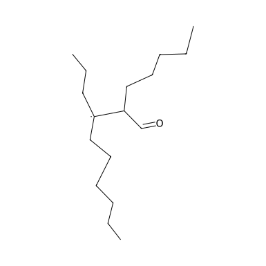 CCCCCC[C](CCC)C(C=O)CCCCC